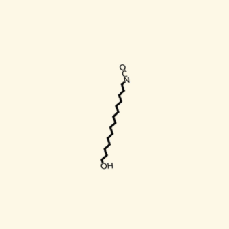 O=C=NCCCCCCCCCCCCCCCO